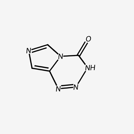 O=c1[nH]nnc2cncn12